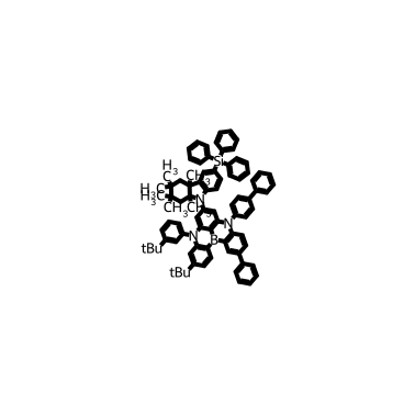 CC(C)(C)c1cccc(N2c3cc(C(C)(C)C)ccc3B3c4cc(-c5ccccc5)ccc4N(c4ccc(-c5ccccc5)cc4)c4cc(N5c6ccc([Si](c7ccccc7)(c7ccccc7)c7ccccc7)cc6C6(C)CC(C)(C)C(C)(C)CC56C)cc2c43)c1